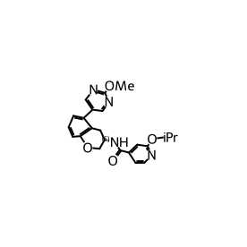 COc1ncc(-c2cccc3c2C[C@H](NC(=O)c2ccnc(OC(C)C)c2)CO3)cn1